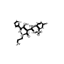 CC(C)CCn1nc(-c2cccs2)c(O)c(C2=NS(=O)(=O)c3cc(I)ccc3N2)c1=O